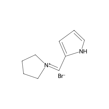 C(c1ccc[nH]1)=[N+]1CCCC1.[Br-]